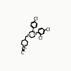 [C-]#[N+]N1CCC(CN2CCN(c3ccc(Cl)cc3Cl)[C@H](c3ccc(Cl)cc3)C2)CC1